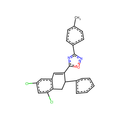 Cc1ccc(-c2noc(C3=Cc4cc(Cl)cc(Cl)c4CC3c3ccccc3)n2)cc1